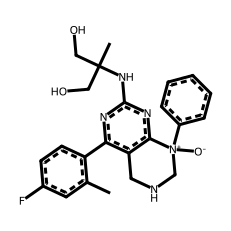 Cc1cc(F)ccc1-c1nc(NC(C)(CO)CO)nc2c1CNC[N+]2([O-])c1ccccc1